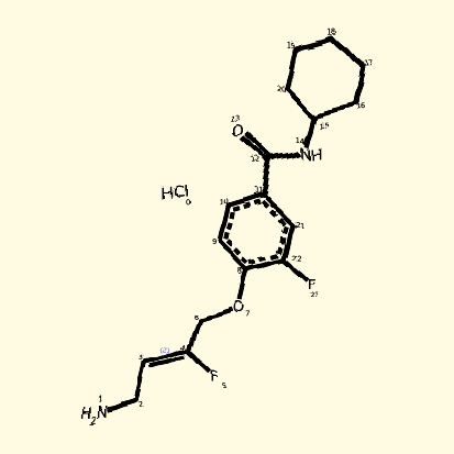 Cl.NC/C=C(\F)COc1ccc(C(=O)NC2CCCCC2)cc1F